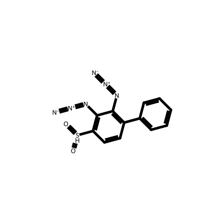 [N-]=[N+]=Nc1c(-c2ccccc2)ccc([SH](=O)=O)c1N=[N+]=[N-]